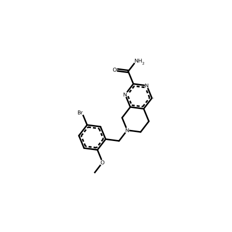 COc1ccc(Br)cc1CN1CCc2[c]nc(C(N)=O)nc2C1